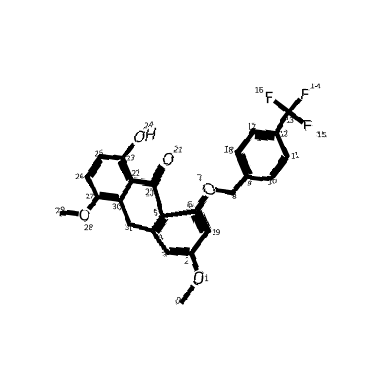 COc1cc2c(c(OCc3ccc(C(F)(F)F)cc3)c1)C(=O)c1c(O)ccc(OC)c1C2